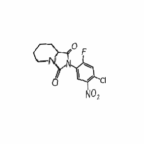 O=C1C2CCCCN2C(=O)N1c1cc([N+](=O)[O-])c(Cl)cc1F